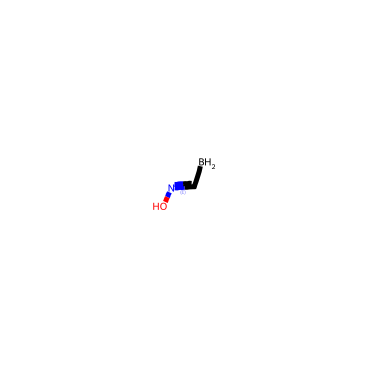 B/C=N/O